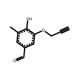 C#CCOc1cc(C=O)cc(C)c1O